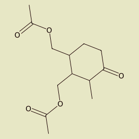 CC(=O)OCC1CCC(=O)C(C)C1COC(C)=O